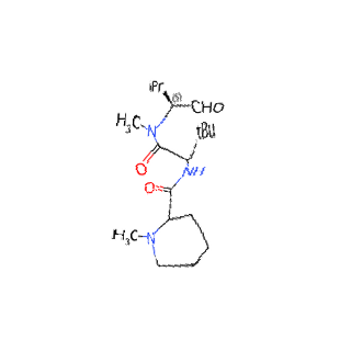 CC(C)[C@@H](C=O)N(C)C(=O)C(NC(=O)C1CCCCN1C)C(C)(C)C